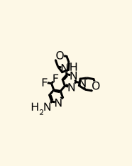 Nc1cc(C(F)F)c(C2=NC(N3C4CCC3COC4)NC(N3C4CCC3COC4)=C2)cn1